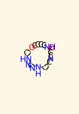 CN1CCC(=O)NCCCCOc2cccc(c2)Nc2cc(ncn2)Nc2cccc(c2)C1